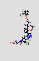 Cc1c(Cl)cccc1OCCCC(=O)N1CCCOc2c(-c3cnn(Cc4c(F)cc(C(=O)NCCO)cc4Cl)c3)cccc21